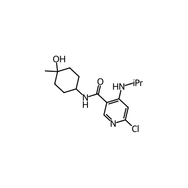 CC(C)Nc1cc(Cl)ncc1C(=O)NC1CCC(C)(O)CC1